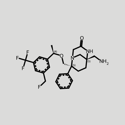 C[C@@H](OC[C@@]1(c2ccccc2)CC[C@]2(CN)CN1CC(=O)N2)c1cc(CF)cc(C(F)(F)F)c1